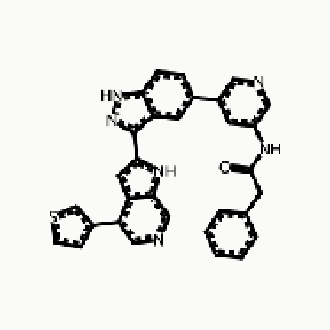 O=C(Cc1ccccc1)Nc1cncc(-c2ccc3[nH]nc(-c4cc5c(-c6ccsc6)cncc5[nH]4)c3c2)c1